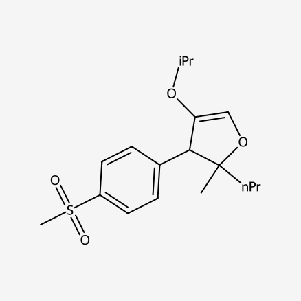 CCCC1(C)OC=C(OC(C)C)C1c1ccc(S(C)(=O)=O)cc1